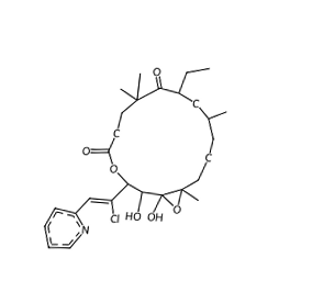 CCC1CC(C)CCCC2(C)OC2(O)C(O)C(C(Cl)=Cc2ccccn2)OC(=O)CCC(C)(C)C1=O